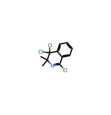 CC1(C)N=C(Cl)c2ccccc2C1(Cl)Cl